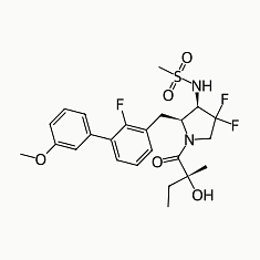 CC[C@@](C)(O)C(=O)N1CC(F)(F)[C@H](NS(C)(=O)=O)[C@@H]1Cc1cccc(-c2cccc(OC)c2)c1F